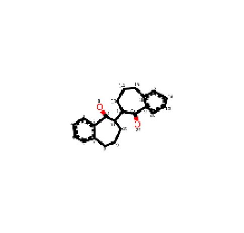 O=C1c2ccccc2CCCC1C1CCCc2ccccc2C1=O